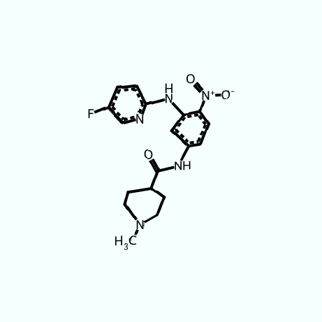 CN1CCC(C(=O)Nc2ccc([N+](=O)[O-])c(Nc3ccc(F)cn3)c2)CC1